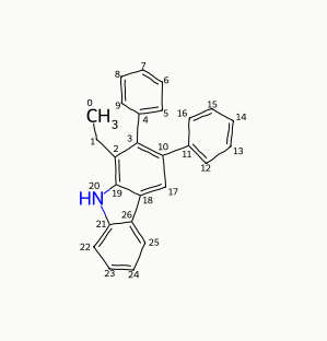 CCc1c(-c2ccccc2)c(-c2ccccc2)cc2c1[nH]c1ccccc12